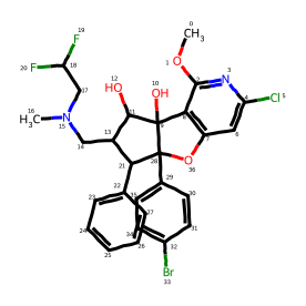 COc1nc(Cl)cc2c1C1(O)C(O)C(CN(C)CC(F)F)C(c3ccccc3)C1(c1ccc(Br)cc1)O2